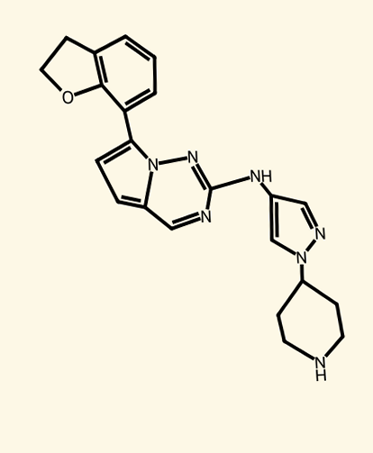 c1cc2c(c(-c3ccc4cnc(Nc5cnn(C6CCNCC6)c5)nn34)c1)OCC2